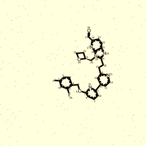 Cc1ccc(COc2cccc(-c3ccnc(CCc4nc5ccc(C=O)nc5n4C[C@@H]4CCO4)c3)n2)c(F)c1